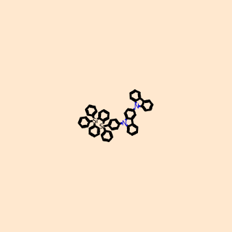 c1ccc([Si]2(c3ccccc3)c3ccccc3[Si](c3ccccc3)(c3ccc(-n4c5ccccc5c5cc(-n6c7ccccc7c7ccccc76)ccc54)cc3)c3ccccc32)cc1